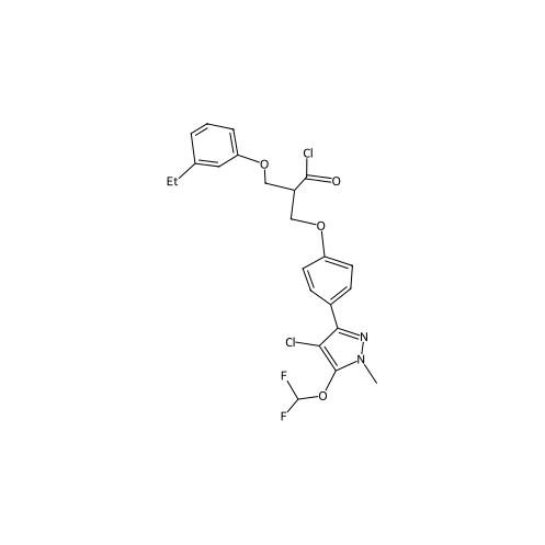 CCc1cccc(OCC(COc2ccc(-c3nn(C)c(OC(F)F)c3Cl)cc2)C(=O)Cl)c1